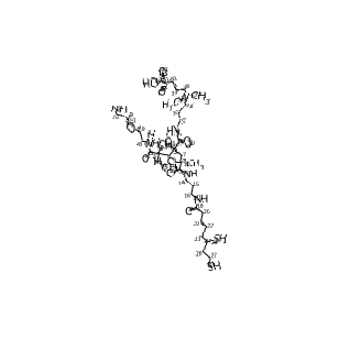 CCC(C)(CC(C)(CC(C)(C)C(=O)NCCCNC(=O)CCCCC(S)CCS)C(=O)NCCC[N+](C)(C)CCCS(=O)(=O)O)C(=O)NCCOCCN